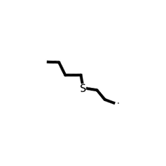 [CH2]CCSCCCC